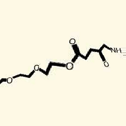 CCOCCOCCOC(=O)CCC(=O)CN